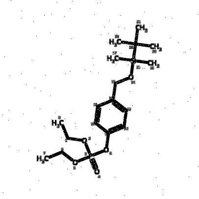 CCOP(=O)(OCC)Oc1ccc(CO[Si](C)(C)C(C)(C)C)cc1